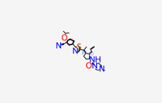 C=C/C=C1\C(=C(/C)c2cnc(-c3ccc(OC(C)C)c(C#N)c3)s2)CCC1NC(=O)N1CCN(C)CC1